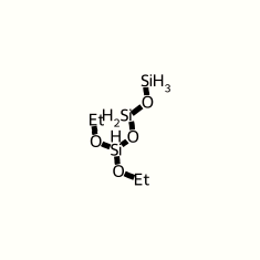 CCO[SiH](OCC)O[SiH2]O[SiH3]